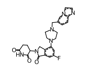 O=C1CCC(N2Cc3c(cc(F)cc3N3CCN(Cc4ccc5nccn5c4)CC3)C2=O)C(=O)N1